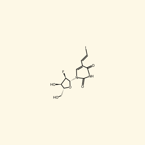 O=c1[nH]c(=O)n([C@@H]2O[C@H](CO)[C@@H](O)[C@H]2F)cc1/C=C/I